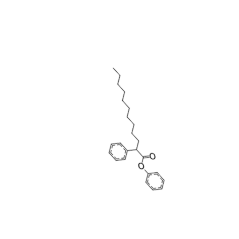 CCCCCCCCCCC(C(=O)Oc1ccccc1)c1ccccc1